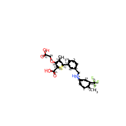 Cc1ccc(NCc2cccc(-c3sc(C(=O)O)c(OCC(=O)O)c3C)c2)cc1C(F)(F)F